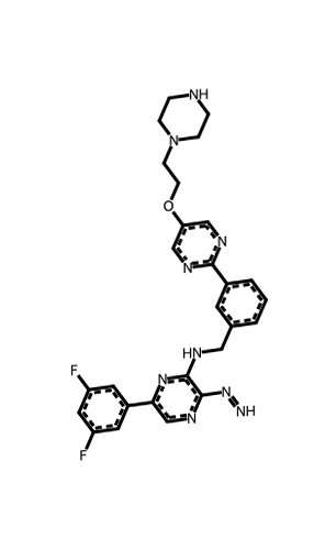 N=Nc1ncc(-c2cc(F)cc(F)c2)nc1NCc1cccc(-c2ncc(OCCN3CCNCC3)cn2)c1